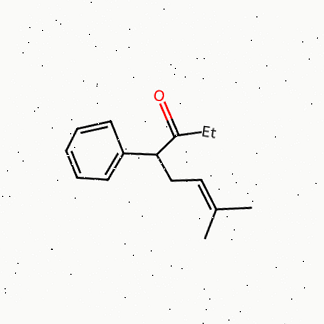 CCC(=O)C(CC=C(C)C)c1ccccc1